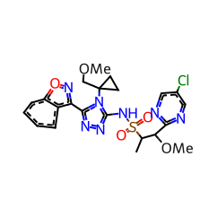 COCC1(n2c(NS(=O)(=O)C(C)C(OC)c3ncc(Cl)cn3)nnc2-c2noc3ccccc23)CC1